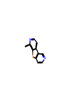 Cc1nccc2c1sc1ccncc12